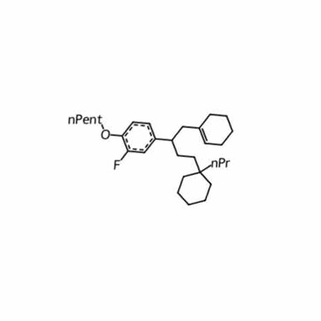 CCCCCOc1ccc(C(CCC2(CCC)CCCCC2)CC2=CCCCC2)cc1F